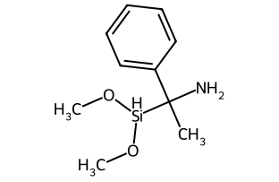 CO[SiH](OC)C(C)(N)c1ccccc1